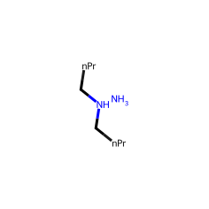 CCCCNCCCC.N